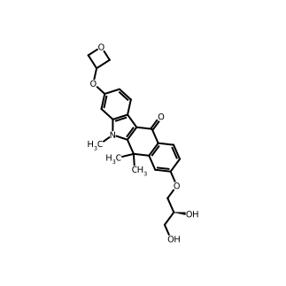 Cn1c2c(c3ccc(OC4COC4)cc31)C(=O)c1ccc(OC[C@@H](O)CO)cc1C2(C)C